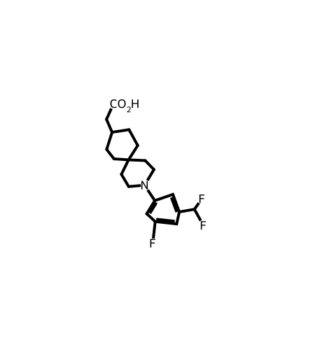 O=C(O)CC1CCC2(CC1)CCN(c1cc(F)cc(C(F)F)c1)CC2